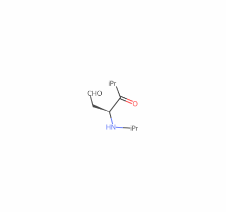 CC(C)N[C@@H](CC=O)C(=O)C(C)C